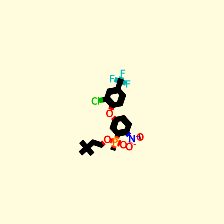 CC(C)(C)CCOP(C)(=O)c1cc(Oc2ccc(C(F)(F)F)cc2Cl)ccc1[N+](=O)[O-]